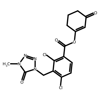 Cn1nnn(Cc2c(Cl)ccc(C(=O)OC3=CC(=O)CCC3)c2Cl)c1=O